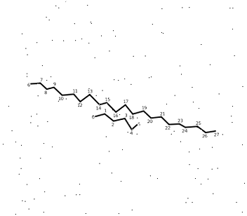 CCCCCC.CCCCCCCCCCCCCCCCCCCCCC